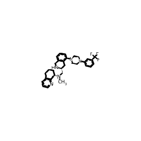 CN(C[C@H]1Cc2c(cccc2N2CCN(c3cccc(C(F)(F)F)c3)CC2)CN1)[C@H]1CCCc2cccnc21